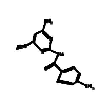 COc1cc(N)nc(NC(=O)c2ccc(C)cc2)n1